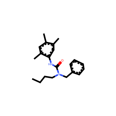 CCCCN(Cc1ccccc1)C(=O)Nc1cc(C)c(C)cc1C